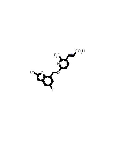 CCc1cc2cc(F)cc(COc3ccc(/C=C/C(=O)O)c(C(F)(F)F)n3)c2o1